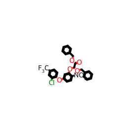 O=C(OCc1ccccc1)C(OCc1ccccc1)Oc1cc(Oc2ccc(C(F)(F)F)cc2Cl)ccc1[N+](=O)[O-]